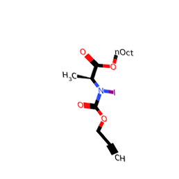 C#CCOC(=O)N(I)[C@@H](C)C(=O)OCCCCCCCC